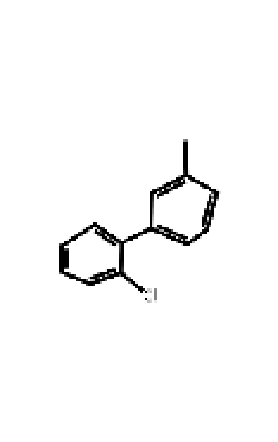 Cc1cccc(-c2ccccc2Cl)c1